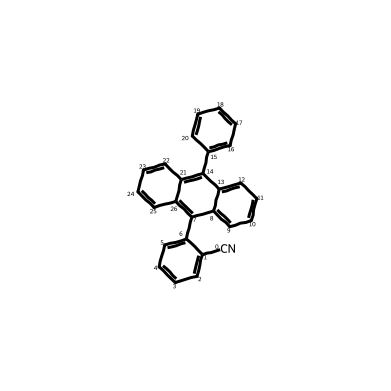 N#Cc1ccccc1-c1c2ccccc2c(-c2ccccc2)c2ccccc12